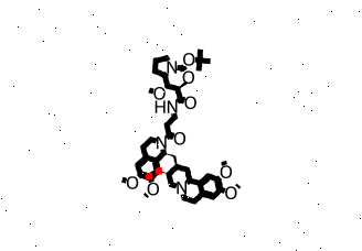 CC[C@H]1CN2CCc3cc(OC)c(OC)cc3C2C[C@@H]1C[C@@H]1c2cc(OC)c(OC)cc2CCN1C(=O)CCNC(=O)[C@H](C)[C@@H](OC)C1CCCN1C(=O)OC(C)(C)C